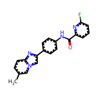 Cc1ccc2nc(-c3ccc(NC(=O)c4cccc(F)n4)cc3)cn2c1